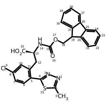 Cc1nnc(-c2ccc(Cl)cc2C[C@H](NC(=O)OCC2c3ccccc3-c3ccccc32)C(=O)O)s1